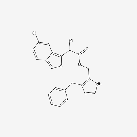 CC(C)C(C(=O)OCc1[nH]ccc1Cc1ccccc1)c1scc2ccc(Cl)cc12